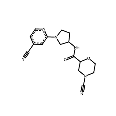 N#Cc1ccnc(N2CCC(NC(=O)C3CN(C#N)CCO3)C2)c1